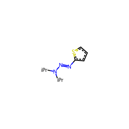 CC(C)N(/N=N/c1cccs1)C(C)C